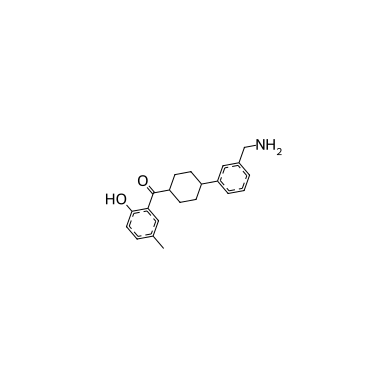 Cc1ccc(O)c(C(=O)C2CCC(c3cccc(CN)c3)CC2)c1